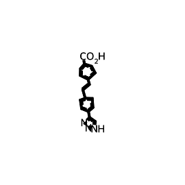 O=C(O)c1ccc(C=Cc2ccc(-c3c[nH]nn3)cc2)cc1